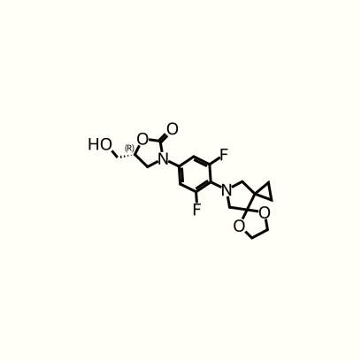 O=C1O[C@@H](CO)CN1c1cc(F)c(N2CC3(CC3)C3(C2)OCCO3)c(F)c1